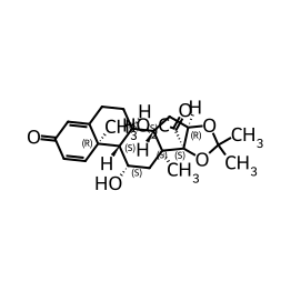 CC1(C)O[C@@H]2C[C@H]3[C@@H]4CCC5=CC(=O)C=C[C@]5(C)[C@H]4[C@@H](O)C[C@]3(C)[C@]2(C(=O)C(=O)O)O1